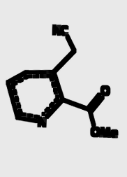 COC(=O)c1ncccc1CC#N